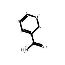 NC(=S)C1=CC=COC1